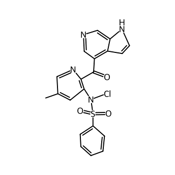 Cc1cnc(C(=O)c2cncc3[nH]ccc23)c(N(Cl)S(=O)(=O)c2ccccc2)c1